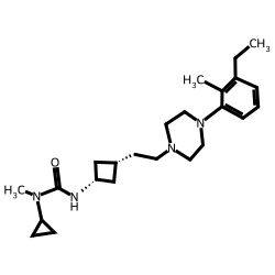 CCc1cccc(N2CCN(CC[C@H]3C[C@@H](NC(=O)N(C)C4CC4)C3)CC2)c1C